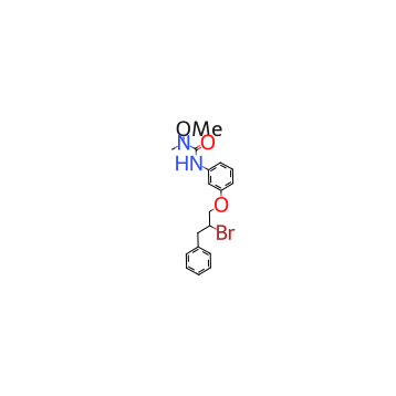 CON(C)C(=O)Nc1cccc(OCC(Br)Cc2ccccc2)c1